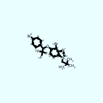 CC(C)(C)Cn1nnc2c(Br)c(OC(c3ccc(Br)cc3)C(F)(F)F)ccc21